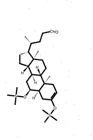 C[C@H](CCC=O)[C@H]1CC[C@H]2[C@@H]3C[C@H](O[Si](C)(C)C)[C@@H]4CC(O[Si](C)(C)C)=CC[C@]4(C)[C@H]3CC[C@]12C